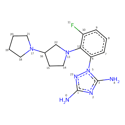 Nc1nc(N)n(-c2cccc(F)c2N2CCC(N3CCCC3)C2)n1